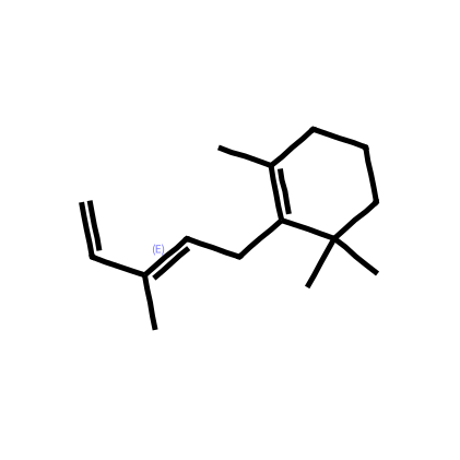 C=C/C(C)=C/CC1=C(C)CCCC1(C)C